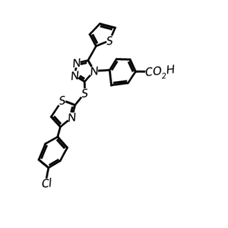 O=C(O)c1ccc(-n2c(Sc3nc(-c4ccc(Cl)cc4)cs3)nnc2-c2cccs2)cc1